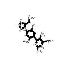 CNc1nc(N)nc(-c2cc(F)c(-n3nnnc3COC)cc2OC)c1C(F)(F)F